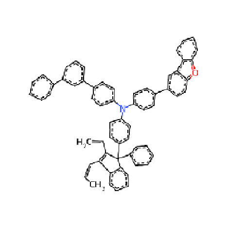 C=CC1=C(/C=C\C)c2ccccc2C1(c1ccccc1)c1ccc(N(c2ccc(-c3cccc(-c4ccccc4)c3)cc2)c2ccc(-c3ccc4oc5ccccc5c4c3)cc2)cc1